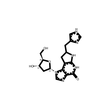 O=c1[nH]c2c(c3c1ncn3[C@@H]1C[C@H](O)[C@@H](CO)O1)CC(Cc1c[nH]cn1)N2